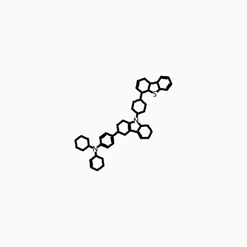 C1=CC2SC3C(C4CCC(N5C6=C(CC(c7ccc(N(C8C=CCCC8)C8CCCCC8)cc7)CC6)C6=CCCCC65)CC4)C=CCC3C2C=C1